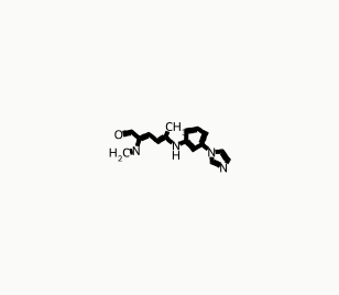 C=N/C(C=O)=C\C=C(/C)Nc1cccc(-n2ccnc2)c1